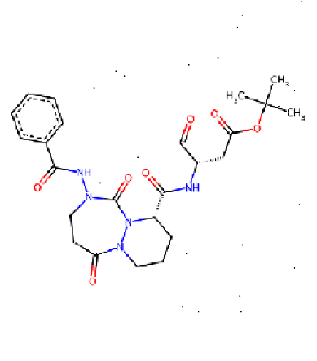 CC(C)(C)OC(=O)C[C@@H](C=O)NC(=O)[C@@H]1CCCN2C(=O)CCN(NC(=O)c3ccccc3)C(=O)N12